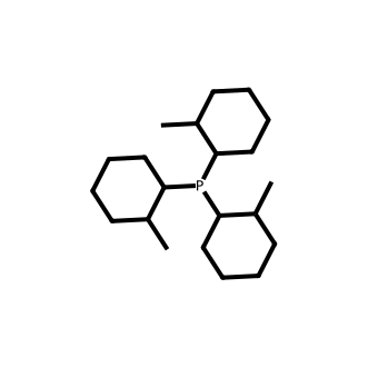 CC1CCCCC1P(C1CCCCC1C)C1CCCCC1C